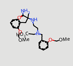 COCOc1ccccc1CN(CCNC(C)(Cc1ccccc1OCOC)C(N)=O)CC(=O)O